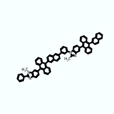 Cc1nc2cc(-c3c4ccccc4c(-c4ccc5ccccc5c4)c4ccccc34)ccc2n1-c1cccc(-c2ccc3cc(-c4c5ccccc5c(-c5ccc6nc(-c7ccccc7)n(C)c6c5)c5ccccc45)ccc3c2)c1